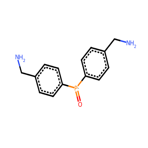 NCc1ccc([P](=O)c2ccc(CN)cc2)cc1